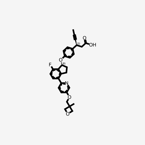 CC#C[C@@H](CC(=O)O)c1ccc(O[C@@H]2CCc3c(-c4ccc(OCC5(C)COC5)cn4)ccc(F)c32)cc1